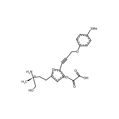 CSc1ccc(OCC#Cc2ccc(CC[C@@](C)(N)CO)o2)cc1.O=C(O)C(=O)O